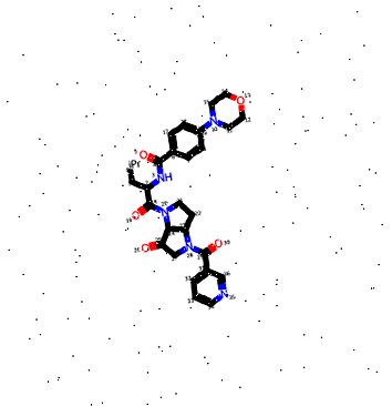 CC(C)CC(NC(=O)c1ccc(N2CCOCC2)cc1)C(=O)N1CCC2C1C(=O)CN2C(=O)c1cccnc1